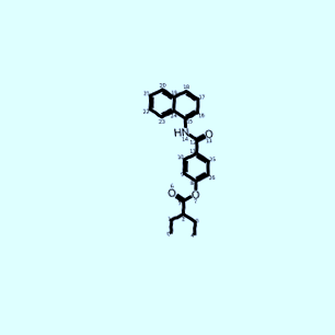 CCC(CC)C(=O)Oc1ccc(C(=O)Nc2cccc3ccccc23)cc1